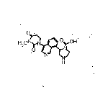 CN1C(=O)CCN(c2cncc3c(C4CNCCN4C(=O)O)cccc23)C1=O